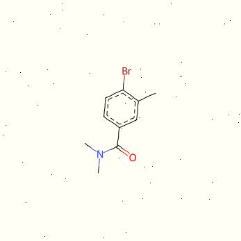 Cc1cc(C(=O)N(C)C)ccc1Br